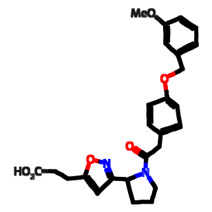 COc1cccc(COc2ccc(CC(=O)N3CCCC3c3cc(CCC(=O)O)on3)cc2)c1